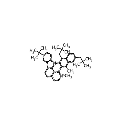 Cc1c2cc(CC(C)(C)C)ccc2c(CC(C)(C)C)c2c1c1c3c(ccc4c5cc(C(C)(C)C)ccc5n2c43)cc[n+]1C